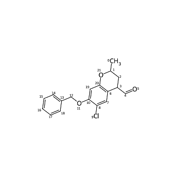 CC1CC(C=O)c2cc(Cl)c(OCc3ccccc3)cc2O1